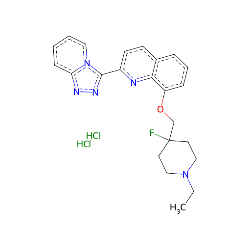 CCN1CCC(F)(COc2cccc3ccc(-c4nnc5ccccn45)nc23)CC1.Cl.Cl